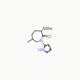 CNC1CCC(C)CN(c2ccc[nH]2)C1=O